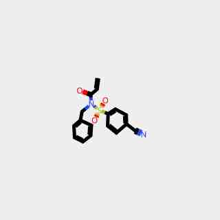 C=CC(=O)N(Cc1ccccc1)S(=O)(=O)c1ccc(C#N)cc1